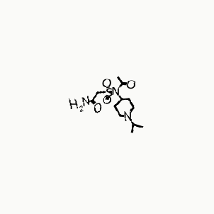 CC(=O)N(C1CCN(C(C)C)CC1)S(=O)(=O)CC(N)=O